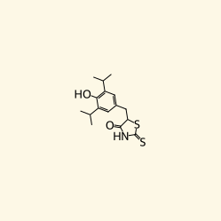 CC(C)c1cc(CC2SC(=S)NC2=O)cc(C(C)C)c1O